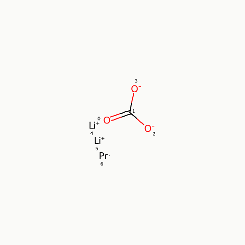 O=C([O-])[O-].[Li+].[Li+].[Pr]